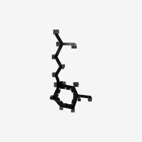 Cc1ccc[n+](CCCC(C)C)c1